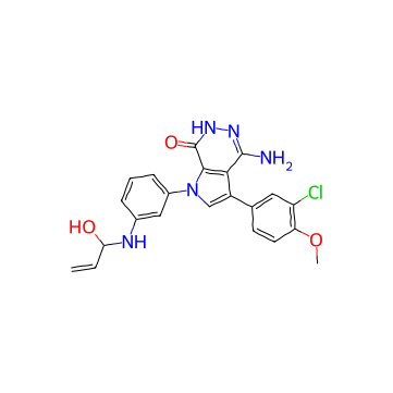 C=CC(O)Nc1cccc(-n2cc(-c3ccc(OC)c(Cl)c3)c3c(N)n[nH]c(=O)c32)c1